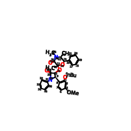 CCCCOc1cc(OC)ccc1[C@@H]1[C@H](O[C@@]2(C)O[C@H](c3ccccc3)[C@H](C)N(C)C2=O)C(=O)N1c1ccccc1